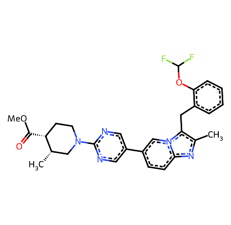 COC(=O)[C@@H]1CCN(c2ncc(-c3ccc4nc(C)c(Cc5ccccc5OC(F)F)n4c3)cn2)C[C@@H]1C